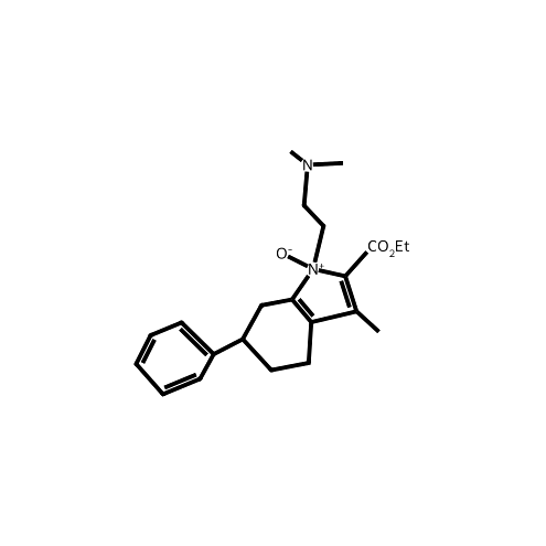 CCOC(=O)C1=C(C)C2=C(CC(c3ccccc3)CC2)[N+]1([O-])CCN(C)C